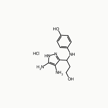 Cl.Nc1[nH]nc(C(CCO)Nc2ccc(O)cc2)c1N